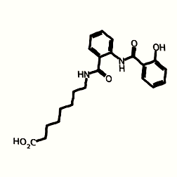 O=C(O)CCCCCCCNC(=O)c1ccccc1NC(=O)c1ccccc1O